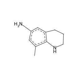 Cc1cc(N)cc2c1NCCC2